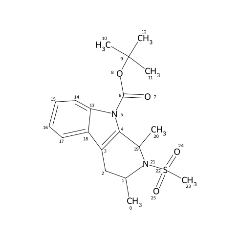 CC1Cc2c(n(C(=O)OC(C)(C)C)c3ccccc23)C(C)N1S(C)(=O)=O